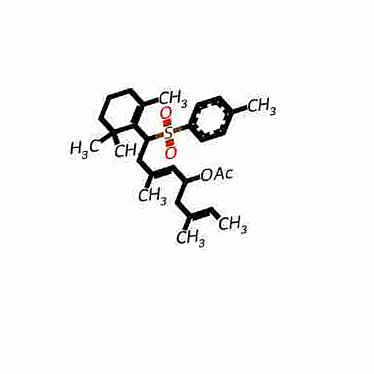 CC=C(C)CC(C=C(C)CC(C1=C(C)CCCC1(C)C)S(=O)(=O)c1ccc(C)cc1)OC(C)=O